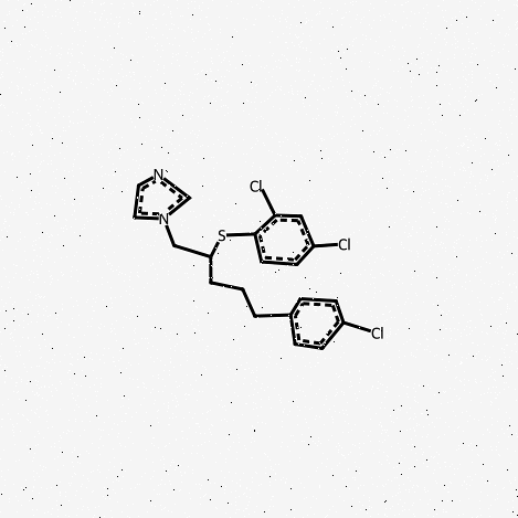 Clc1ccc(CCCC(Cn2ccnc2)Sc2ccc(Cl)cc2Cl)cc1